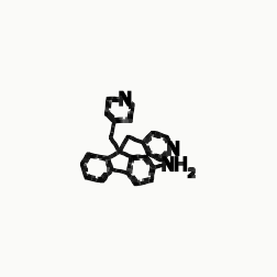 Nc1ccc2c(c1)C(Cc1ccncc1)(Cc1ccncc1)c1ccccc1-2